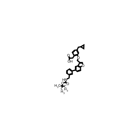 CC(C)(C)OC(=O)NCc1cccc(-c2ccc3occ(COc4cc(CC5CC5)ccc4CC(=O)O)c3c2)c1